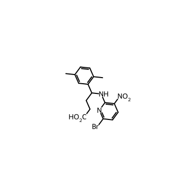 Cc1ccc(C)c(C(CCC(=O)O)Nc2nc(Br)ccc2[N+](=O)[O-])c1